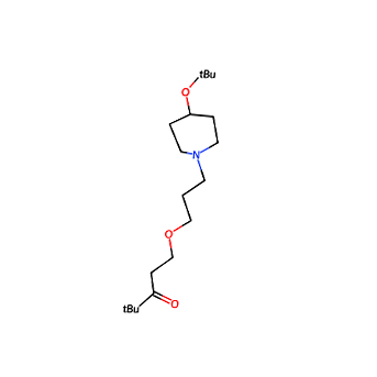 CC(C)(C)OC1CCN(CCCOCCC(=O)C(C)(C)C)CC1